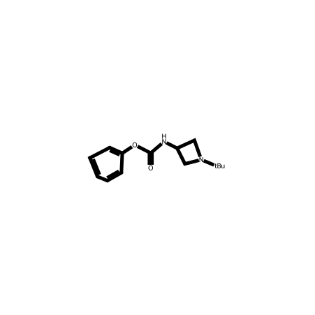 CC(C)(C)N1CC(NC(=O)Oc2ccccc2)C1